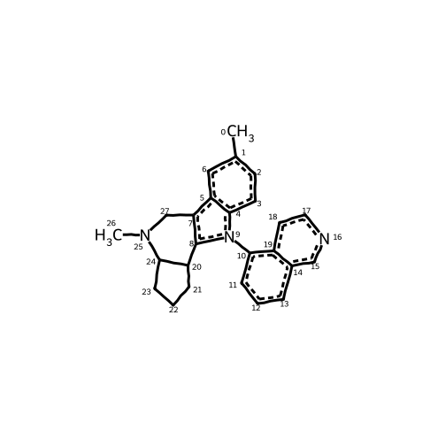 Cc1ccc2c(c1)c1c(n2-c2cccc3cnccc23)C2CCCC2N(C)C1